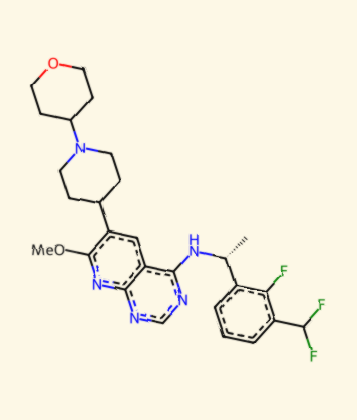 COc1nc2ncnc(N[C@H](C)c3cccc(C(F)F)c3F)c2cc1C1CCN(C2CCOCC2)CC1